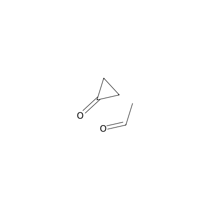 CC=O.O=C1CC1